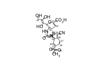 CC(C)C(=O)N[C@H]1[C@H]([C@H](O)[C@H](O)CO)OC(C(=O)O)=C[C@@H]1n1nc2cc(S(C)(=O)=O)ccc2c1C#N